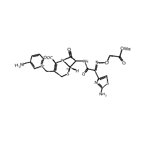 COC(=O)CON=C(C(=O)NC1C(=O)N2C(C(=O)[O-])=C(C[n+]3cccc(N)c3)CS[C@@H]12)c1csc(N)n1